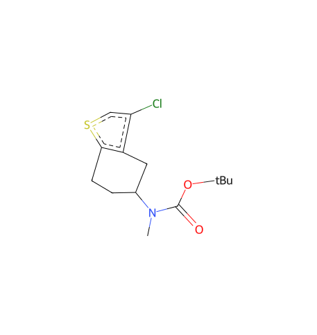 CN(C(=O)OC(C)(C)C)C1CCc2scc(Cl)c2C1